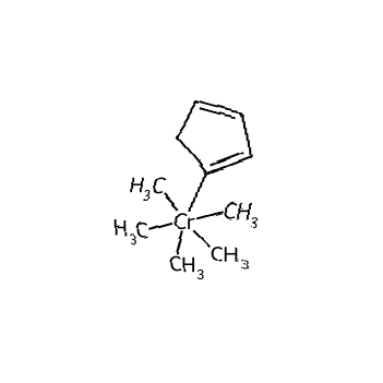 [CH3][Cr]([CH3])([CH3])([CH3])([CH3])[C]1=CC=CC1